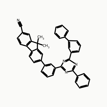 CC1(C)c2cc(C#N)ccc2-c2ccc(-c3cccc(-c4nc(-c5ccccc5)nc(-c5cccc(-c6ccccc6)c5)n4)c3)cc21